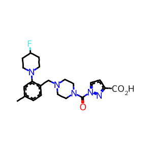 Cc1ccc(CN2CCN(C(=O)n3ccc(C(=O)O)n3)CC2)c(N2CCC(F)CC2)c1